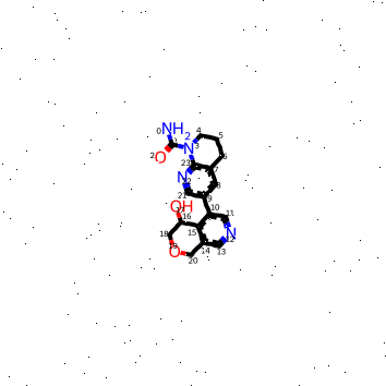 NC(=O)N1CCCc2cc(-c3cncc4c3C(O)COC4)cnc21